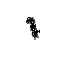 CC(C)(C)OC(=O)Nc1ccc2oc(-c3ccnc(C(=O)O)c3)nc2c1